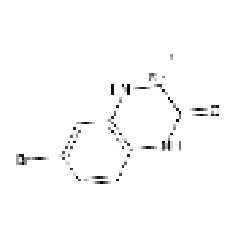 C[C@H]1Nc2cc(Br)ccc2NC1=O